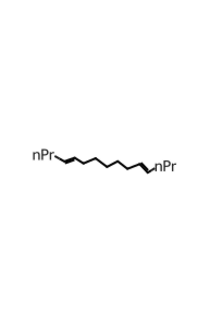 [CH2]CCC=CCCCCCC=CCCC